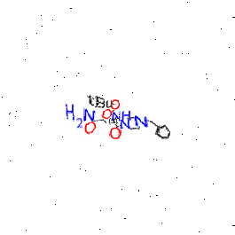 CC(C)(C)OC(=O)N[C@@H](CCC(N)=O)C(=O)N1CCN(Cc2ccccc2)CC1